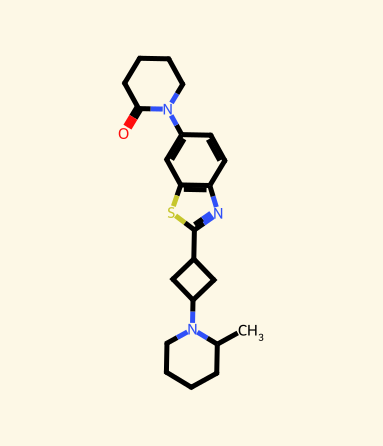 CC1CCCCN1C1CC(c2nc3ccc(N4CCCCC4=O)cc3s2)C1